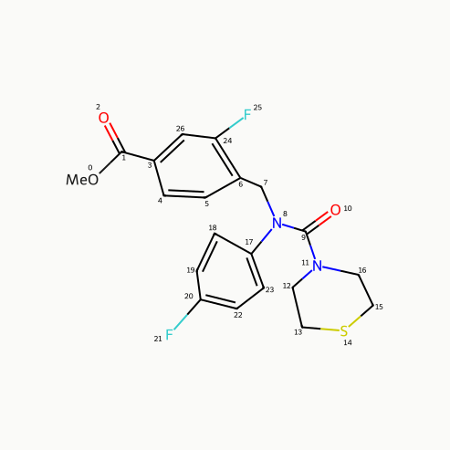 COC(=O)c1ccc(CN(C(=O)N2CCSCC2)c2ccc(F)cc2)c(F)c1